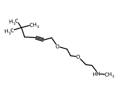 CNCCOCCOCC#CCC(C)(C)C